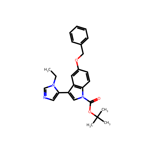 CCn1cncc1-c1cn(C(=O)OC(C)(C)C)c2ccc(OCc3ccccc3)cc12